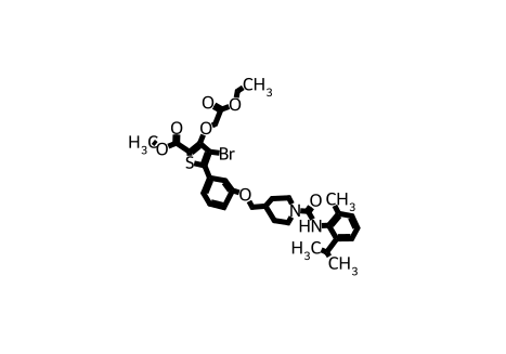 CCOC(=O)COc1c(C(=O)OC)sc(-c2cccc(OCC3CCN(C(=O)Nc4c(C)cccc4C(C)C)CC3)c2)c1Br